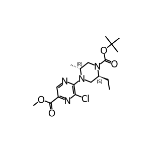 CC[C@H]1CN(c2ncc(C(=O)OC)nc2Cl)[C@H](C)CN1C(=O)OC(C)(C)C